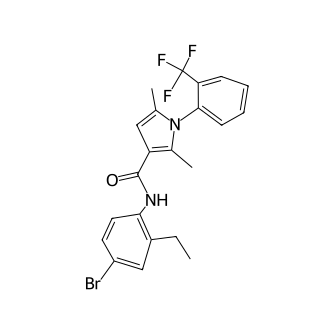 CCc1cc(Br)ccc1NC(=O)c1cc(C)n(-c2ccccc2C(F)(F)F)c1C